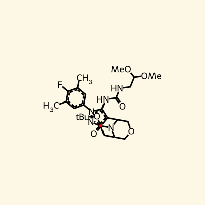 COC(CNC(=O)Nc1c2c(nn1-c1cc(C)c(F)c(C)c1)CC1COCC2N1C(=O)OC(C)(C)C)OC